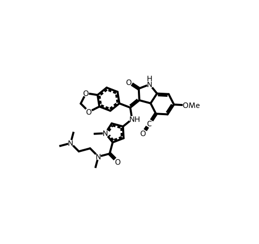 COC1=CC(=C=O)C2C(=C1)NC(=O)C2=C(Nc1cc(C(=O)N(C)CCN(C)C)n(C)c1)c1ccc2c(c1)OCO2